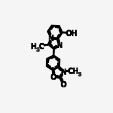 Cc1c(-c2ccc3oc(=O)n(C)c3c2)nc2c(O)cccn12